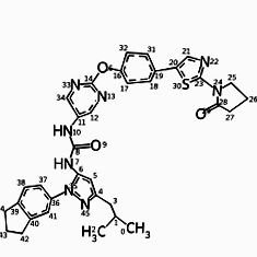 CC(C)Cc1cc(NC(=O)Nc2cnc(Oc3ccc(-c4cnc(N5CCCC5=O)s4)cc3)nc2)n(-c2ccc3c(c2)CCC3)n1